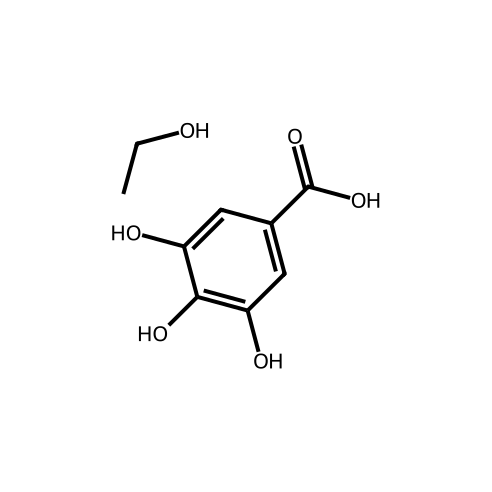 CCO.O=C(O)c1cc(O)c(O)c(O)c1